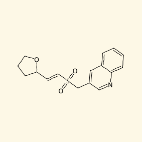 O=S(=O)(/C=C/C1CCCO1)Cc1cnc2ccccc2c1